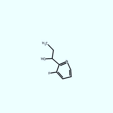 CCC(O)c1ncccc1F